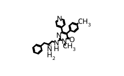 Cc1ccc(-c2c(-c3ccncc3)nc(NC[C@@H](N)Cc3ccccc3)n(C)c2=O)cc1